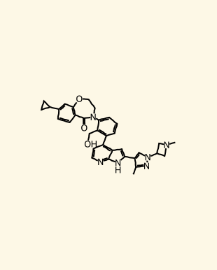 Cc1nn(C2CN(C)C2)cc1-c1cc2c(-c3cccc(N4CCOc5cc(C6CC6)ccc5C4=O)c3CO)ccnc2[nH]1